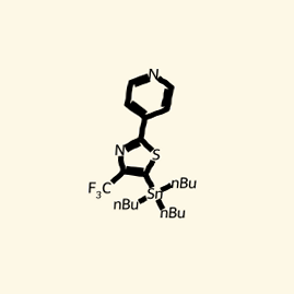 CCC[CH2][Sn]([CH2]CCC)([CH2]CCC)[c]1sc(-c2ccncc2)nc1C(F)(F)F